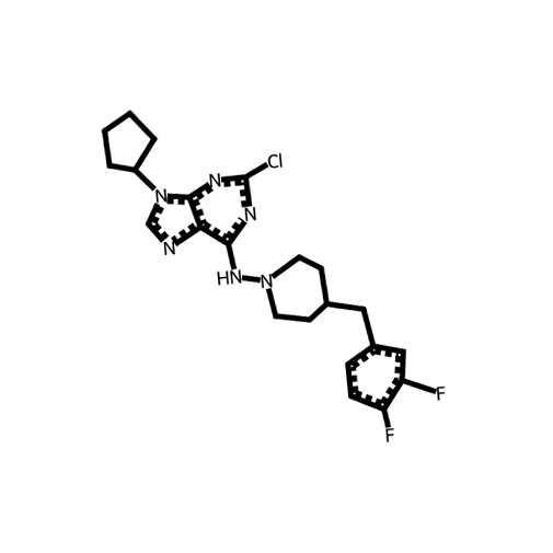 Fc1ccc(CC2CCN(Nc3nc(Cl)nc4c3ncn4C3CCCC3)CC2)cc1F